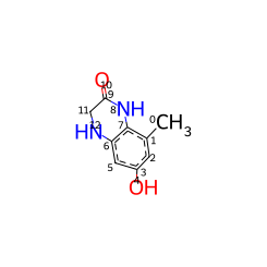 Cc1cc(O)cc2c1NC(=O)CN2